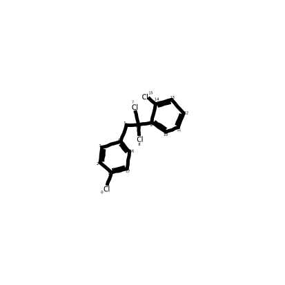 Clc1ccc(CC(Cl)(Cl)c2ccccc2Cl)cc1